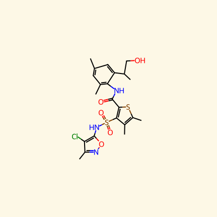 Cc1cc(C)c(NC(=O)c2sc(C)c(C)c2S(=O)(=O)Nc2onc(C)c2Cl)c(C(C)CO)c1